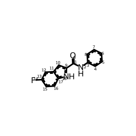 O=C(Nc1ccccc1)c1cc2cc(F)ccc2[nH]1